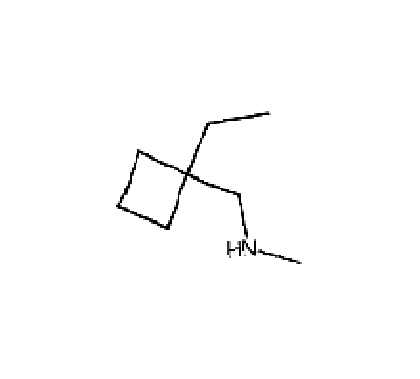 CCC1(CNC)CCC1